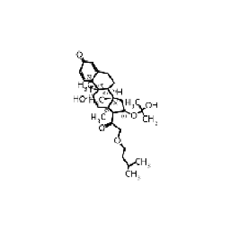 CC(C)CCOCC(=O)C1[C@H](OC(C)(C)O)C[C@@]2(C)[C@@H]3CCC4=CC(=O)C=C[C@]4(C)[C@@]3(F)[C@@H](O)C[C@]12C